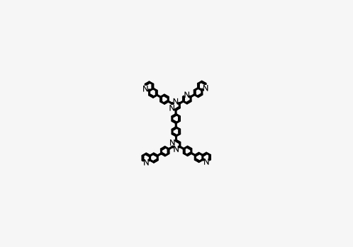 c1cnc2ccc(-c3ccc(-c4cc(-c5ccc(-c6ccc(-c7cc(-c8ccc(-c9ccc%10ncccc%10c9)nc8)nc(-c8ccc(-c9ccc%10ncccc%10c9)cc8)n7)cc6)cc5)nc(-c5ccc(-c6ccc7ncccc7c6)cc5)n4)cc3)cc2c1